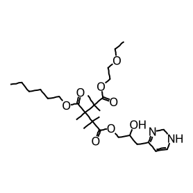 CCCCCCOC(=O)C(C)(C(C)(C)C(=O)OCCOCC)C(C)(C)C(=O)OCC(O)CC1=NCNC=C1